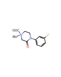 CC(C)(C)[N+]1(C(=O)[O-])CCN(c2cccc(F)c2)C(=O)C1